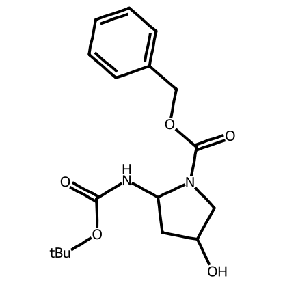 CC(C)(C)OC(=O)NC1CC(O)CN1C(=O)OCc1ccccc1